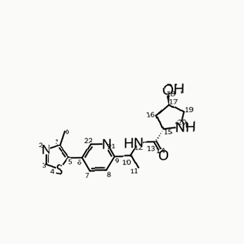 Cc1ncsc1-c1ccc(C(C)NC(=O)[C@@H]2C[C@@H](O)CN2)nc1